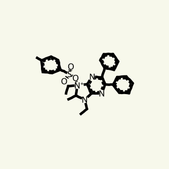 CCN1c2nc(-c3ccccc3)c(-c3ccccc3)nc2[N+](CC)(OS(=O)(=O)c2ccc(C)cc2)C1C